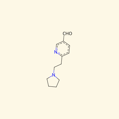 O=Cc1ccc(CCN2CCCC2)nc1